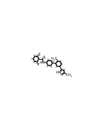 Cc1cc(-c2ccc(C)c(-c3ccc(NC(=O)c4c(F)cccc4F)cc3)c2)[nH]n1